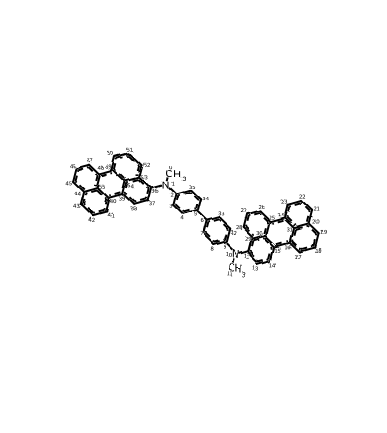 CN(c1ccc(-c2ccc(N(C)c3ccc4c5cccc6cccc(c7cccc3c74)c65)cc2)cc1)c1ccc2c3cccc4cccc(c5cccc1c52)c43